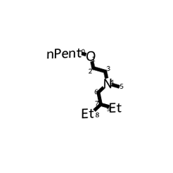 CCCCCOCCN(C)CC(CC)CC